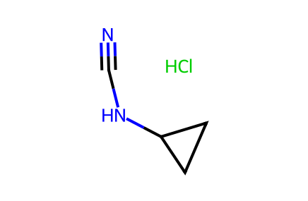 Cl.N#CNC1CC1